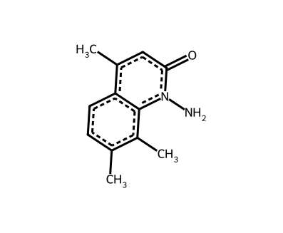 Cc1ccc2c(C)cc(=O)n(N)c2c1C